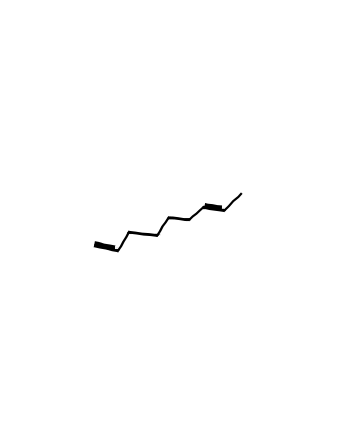 [CH2]C=CCC[CH]CC=C